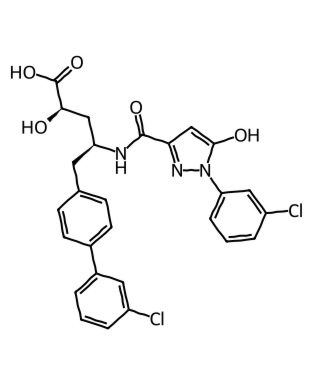 O=C(N[C@@H](Cc1ccc(-c2cccc(Cl)c2)cc1)C[C@@H](O)C(=O)O)c1cc(O)n(-c2cccc(Cl)c2)n1